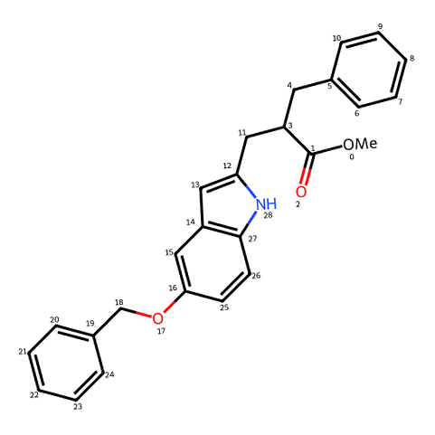 COC(=O)C(Cc1ccccc1)Cc1cc2cc(OCc3ccccc3)ccc2[nH]1